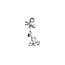 CN1C(=O)c2ccc(NCCCCN3C(=O)c4ccccc4C3=O)cc2C1=O